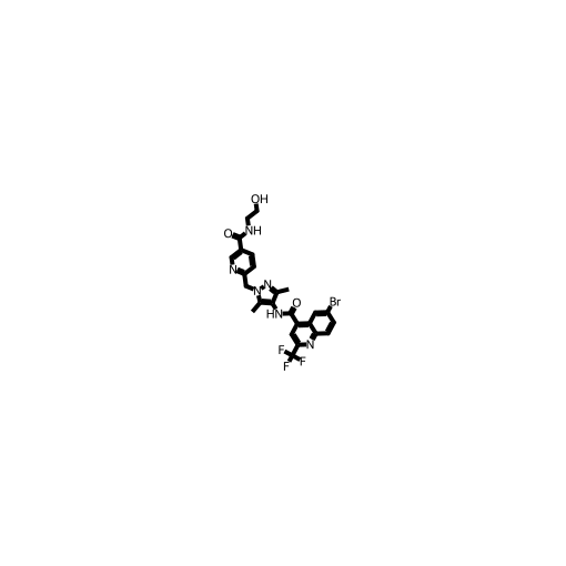 Cc1nn(Cc2ccc(C(=O)NCCO)cn2)c(C)c1NC(=O)c1cc(C(F)(F)F)nc2ccc(Br)cc12